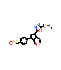 Cc1nnc(-c2cc(-c3ccc(C[S+]=O)cc3)c3coccc2-3)o1